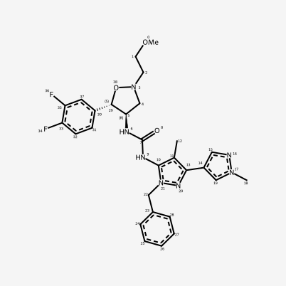 COCCN1C[C@@H](NC(=O)Nc2c(C)c(-c3cnn(C)c3)nn2Cc2ccccc2)[C@H](c2ccc(F)c(F)c2)O1